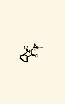 C[C@@H]1C[C@@H]1N1C(=O)c2ccccc2C1=O